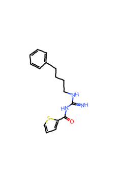 N=C(NCCCCc1ccccc1)NC(=O)c1cccs1